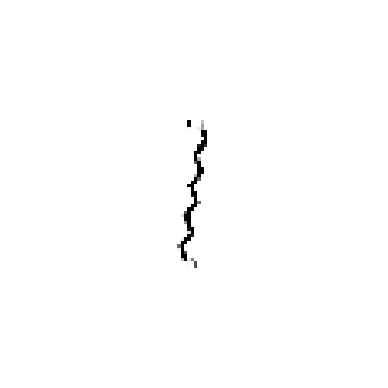 CC(C)CCCCCCCCO